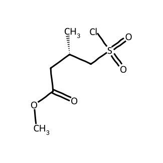 COC(=O)C[C@H](C)CS(=O)(=O)Cl